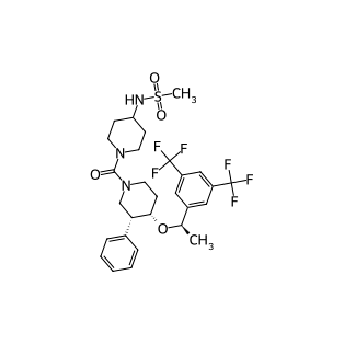 C[C@@H](O[C@H]1CCN(C(=O)N2CCC(NS(C)(=O)=O)CC2)C[C@H]1c1ccccc1)c1cc(C(F)(F)F)cc(C(F)(F)F)c1